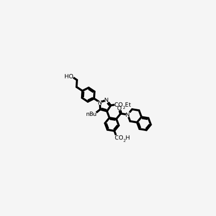 CCCCc1c(-c2ccc(C(=O)O)cc2C(=O)N2CCc3ccccc3C2)c(C(=O)OCC)nn1-c1ccc(CCO)cc1